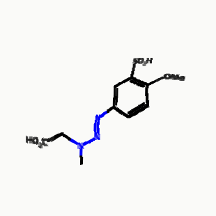 COc1ccc(/N=N/N(C)CC(=O)O)cc1S(=O)(=O)O